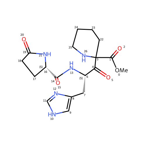 COC(=O)C1(C(=O)[C@H](Cc2c[nH]cn2)NC(=O)[C@@H]2CCC(=O)N2)CCCCN1